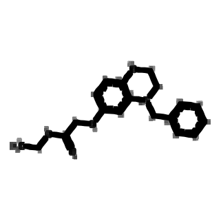 CCOC(=O)COc1ccc2c(c1)N(Cc1ccccc1)CCO2